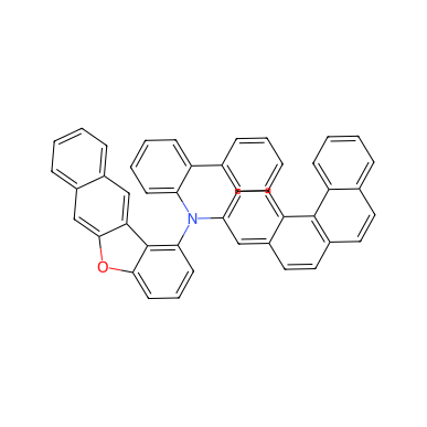 c1ccc(-c2ccccc2N(c2ccc3c(ccc4ccc5ccccc5c43)c2)c2cccc3oc4cc5ccccc5cc4c23)cc1